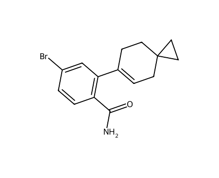 NC(=O)c1ccc(Br)cc1C1=CCC2(CC1)CC2